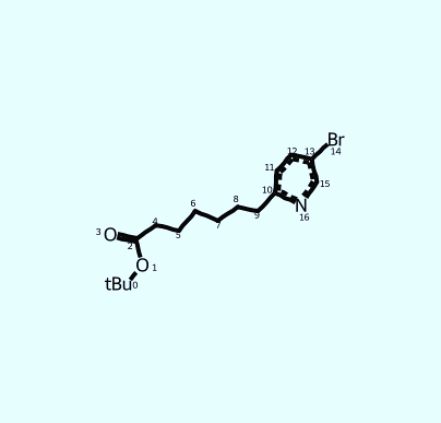 CC(C)(C)OC(=O)CCCCCCc1ccc(Br)cn1